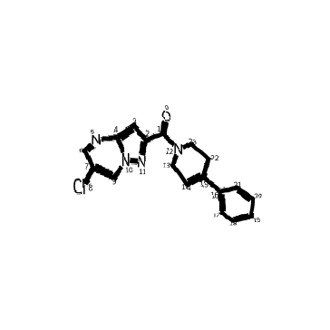 O=C(c1cc2ncc(Cl)cn2n1)N1CC=C(c2ccccc2)CC1